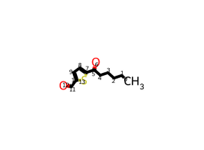 CCCCCC(=O)c1ccc(C=O)s1